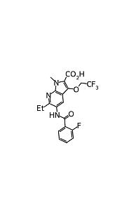 CCc1nc2c(cc1NC(=O)c1ccccc1F)c(OCC(F)(F)F)c(C(=O)O)n2C